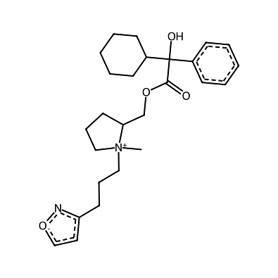 C[N+]1(CCCc2ccon2)CCCC1COC(=O)C(O)(c1ccccc1)C1CCCCC1